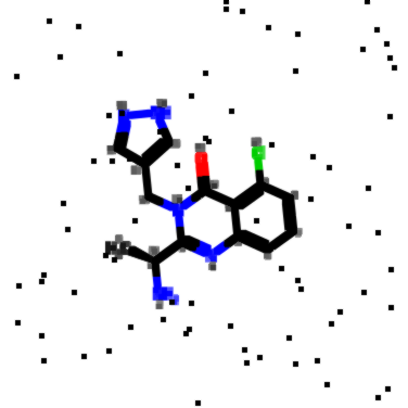 C[C@H](N)c1nc2cccc(Cl)c2c(=O)n1Cc1cn[nH]c1